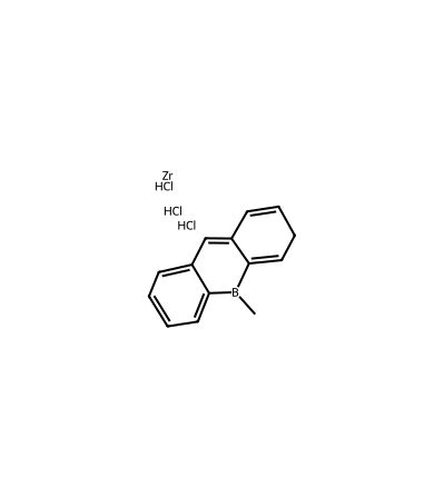 CB1C2=CCC=CC2=Cc2ccccc21.Cl.Cl.Cl.[Zr]